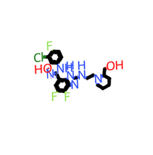 OCC1CCCCN1CCNc1nc2c(F)c(F)cc(/C(=N/O)Nc3ccc(F)c(Cl)c3)c2[nH]1